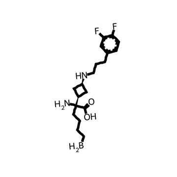 BCCCCC(N)(C(=O)O)[C@H]1C[C@@H](NCCCc2ccc(F)c(F)c2)C1